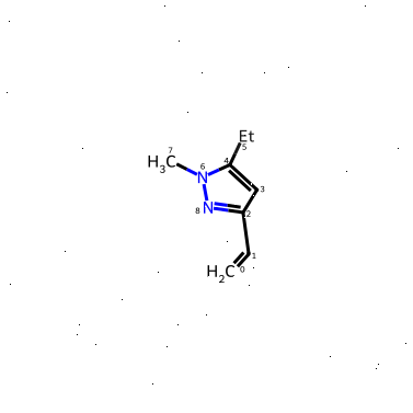 C=Cc1cc(CC)n(C)n1